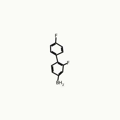 Bc1ccc(-c2ccc(F)cc2)c(F)c1